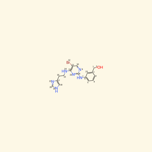 OCc1cccc(Nc2ncc(Br)c(NCCc3c[nH]cn3)n2)c1